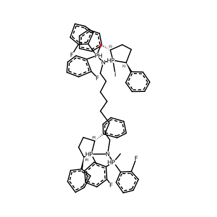 C[PH](c1ccccc1F)(c1ccccc1F)N(CCCCCCCCN([PH](C)(c1ccccc1F)c1ccccc1F)[PH]1(I)[C@H](c2ccccc2)CC[C@H]1c1ccccc1)[PH]1(C)[C@@H](c2ccccc2)CC[C@@H]1c1ccccc1